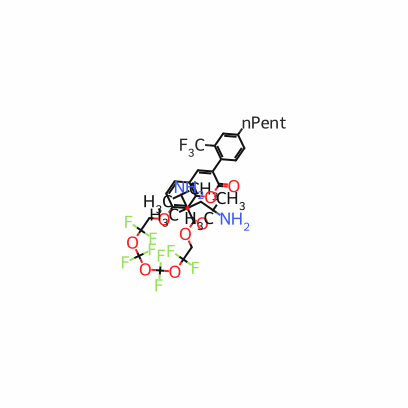 CCCCCc1ccc(-c2cc3ccc(OCC(F)(F)OC(F)(F)OC(F)(F)OC(F)(F)COC(=O)C(C)(CC(C)(C)N)C(C)(C)N)cc3oc2=O)c(C(F)(F)F)c1